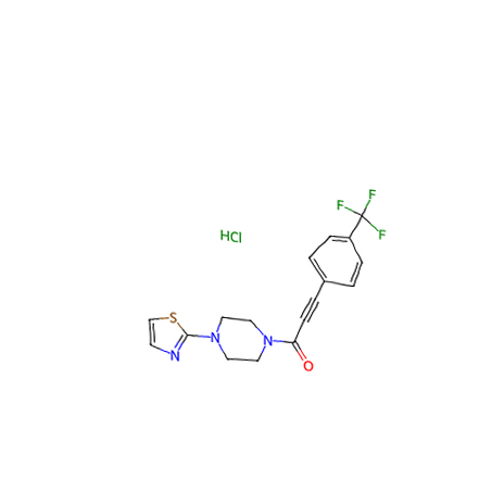 Cl.O=C(C#Cc1ccc(C(F)(F)F)cc1)N1CCN(c2nccs2)CC1